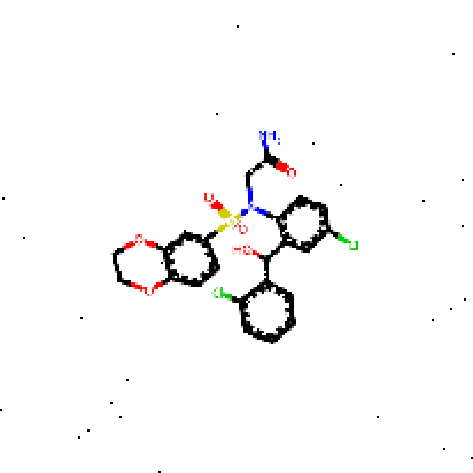 NC(=O)CN(c1ccc(Cl)cc1C(O)c1ccccc1Cl)S(=O)(=O)c1ccc2c(c1)OCCO2